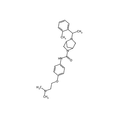 Cc1ccccc1C(C)N1CC2CC1CN2C(=O)Nc1ccc(OCCN(C)C)cc1